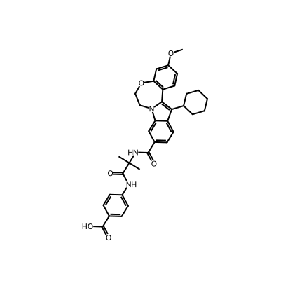 COc1ccc2c(c1)OCCn1c-2c(C2CCCCC2)c2ccc(C(=O)NC(C)(C)C(=O)Nc3ccc(C(=O)O)cc3)cc21